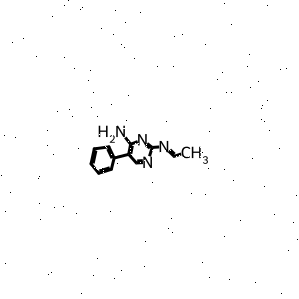 CC=Nc1ncc(-c2ccccc2)c(N)n1